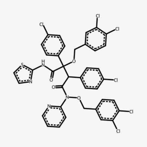 O=C(C(c1ccc(Cl)cc1)C(OCc1ccc(Cl)c(Cl)c1)(C(=O)Nc1nccs1)c1ccc(Cl)cc1)N(OCc1ccc(Cl)c(Cl)c1)c1ccccn1